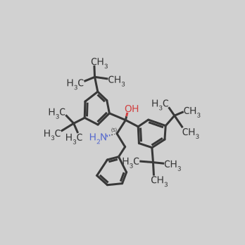 CC(C)(C)c1cc(C(C)(C)C)cc(C(O)(c2cc(C(C)(C)C)cc(C(C)(C)C)c2)[C@@H](N)Cc2ccccc2)c1